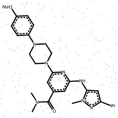 COc1ccc(N2CCN(c3cc(C(=O)N(C)C)cc(Nc4cc(C(C)C)nn4C)n3)CC2)cc1